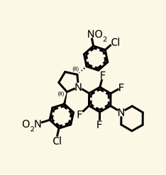 O=[N+]([O-])c1cc([C@H]2CC[C@H](c3ccc(Cl)c([N+](=O)[O-])c3)N2c2c(F)c(F)c(N3CCCCC3)c(F)c2F)ccc1Cl